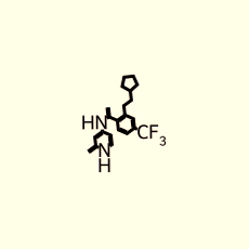 C=C1C=C(NC(=C)c2ccc(C(F)(F)F)cc2CCC2CCCC2)C=CN1